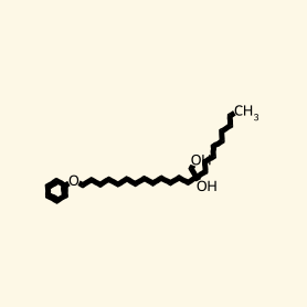 CCCCCCCCCC(O)(CO)CCCCCCCCCCCCCOc1ccccc1